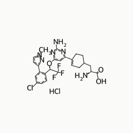 Cl.Cn1ccc(-c2cc(Cl)ccc2[C@@H](Oc2cc(C3=CCC(C[C@H](N)C(=O)O)CC3)nc(N)n2)C(F)(F)F)n1